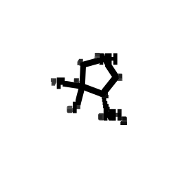 N[C@H]1CNCC1(F)F